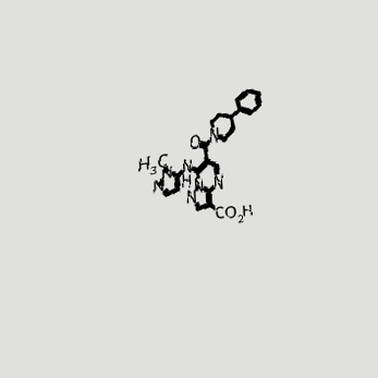 Cn1nccc1Nc1c(C(=O)N2CCC(c3ccccc3)CC2)cnc2c(C(=O)O)cnn12